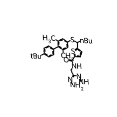 CCCCC(Sc1cc(C)c(-c2ccc(C(C)(C)C)cc2)c(C)c1)c1ccc(C(=O)NC/C(N=N)=N/N)s1